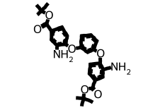 CC(C)(C)OC(=O)c1ccc(Oc2cccc(Oc3ccc(C(=O)OC(C)(C)C)cc3N)c2)c(N)c1